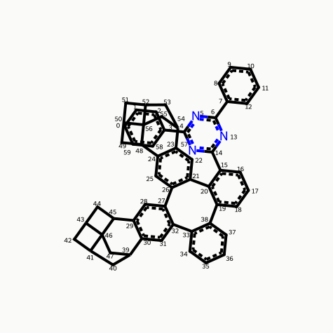 c1ccc(-c2nc(-c3ccccc3)nc(-c3cccc4c3-c3cc5c(cc3-c3cc6c(cc3-c3ccccc3-4)C3CC4CC7CC6C47C3)C3CC4CC6CC5CC643)n2)cc1